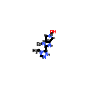 CCn1c(-c2nncn2C)nc2c1CN(O)C2